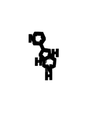 C1=C(c2cccnc2)C[C@H]2CNCC[C@@H]12